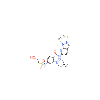 O=C(Nc1ccc2cnn(C[C@H]3CC3(F)F)c2n1)c1ccc(NS(=O)(=O)CCO)cc1N1CCC2(CC1)CC2